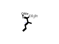 C=C/C=C(\C)C(=NOC)C(=O)OCC